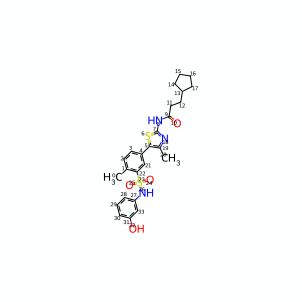 Cc1ccc(-c2sc(NC(=O)CCC3CCCC3)nc2C)cc1S(=O)(=O)Nc1cccc(O)c1